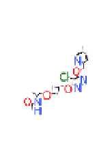 CC(=O)N[C@@H](C)CO[C@H]1C[C@H](COc2ncnc(OCc3ccc(C)cn3)c2Cl)C1